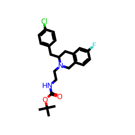 CC(C)(C)OC(=O)NCCN1Cc2ccc(F)cc2CC1Cc1ccc(Cl)cc1